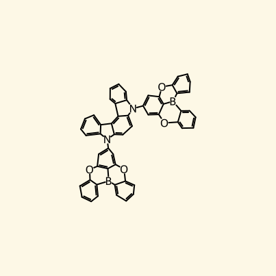 c1ccc2c(c1)Oc1cc(-n3c4ccccc4c4c5c6ccccc6n(-c6cc7c8c(c6)Oc6ccccc6B8c6ccccc6O7)c5ccc43)cc3c1B2c1ccccc1O3